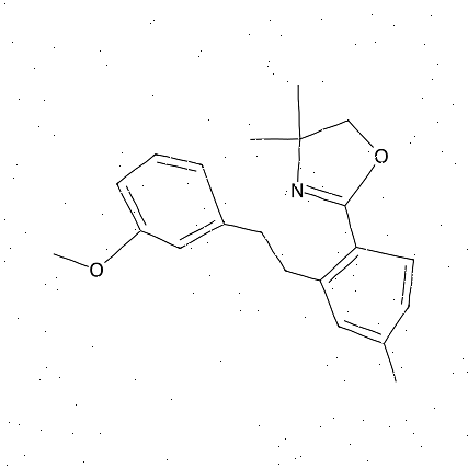 COc1cccc(CCc2cc(C)ccc2C2=NC(C)(C)CO2)c1